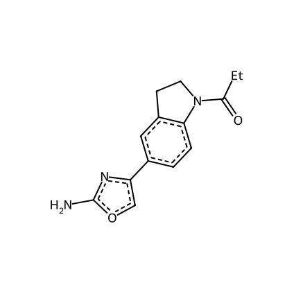 CCC(=O)N1CCc2cc(-c3coc(N)n3)ccc21